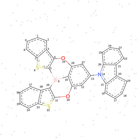 c1ccc2c3c(sc2c1)B1c2c(cc(-n4c5ccccc5c5ccccc54)cc2O3)Oc2sc3ccccc3c21